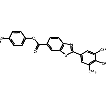 Cc1cc(-c2nc3ccc(C(=O)Oc4ccc([N+](=O)[O-])cc4)cc3s2)cc(C)c1O